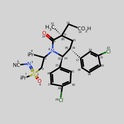 CC(C)C(CS(=O)(=NC#N)C(C)C)N1C(=O)[C@@](C)(CC(=O)O)C[C@H](c2cccc(Cl)c2)[C@H]1c1ccc(Cl)cc1